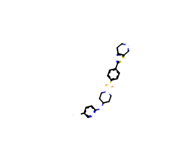 Cc1ccc(NC2CCN(S(=O)(=O)c3ccc(-c4nc5c(s4)CNCC5)cc3)CC2)nc1